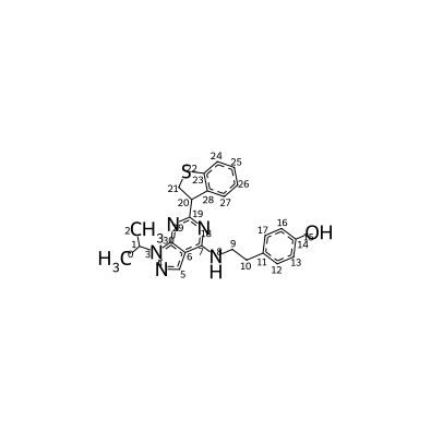 CC(C)n1ncc2c(NCCc3ccc(O)cc3)nc(C3CSc4ccccc43)nc21